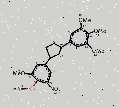 CCCOc1c(OC)cc(C2CCC(c3cc(OC)c(OC)c(OC)c3)C2)cc1[N+](=O)[O-]